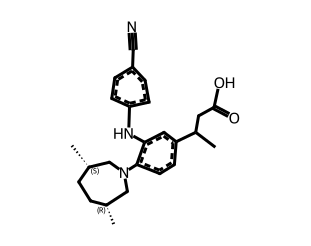 CC(CC(=O)O)c1ccc(N2C[C@H](C)CC[C@H](C)C2)c(Nc2ccc(C#N)cc2)c1